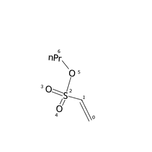 C=CS(=O)(=O)OCCC